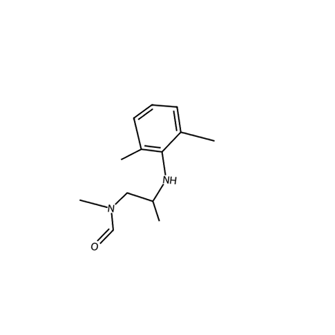 Cc1cccc(C)c1NC(C)CN(C)C=O